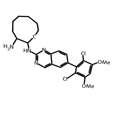 COc1cc(OC)c(Cl)c(-c2ccc3nc(NC4CCCCCCCC4N)ncc3c2)c1Cl